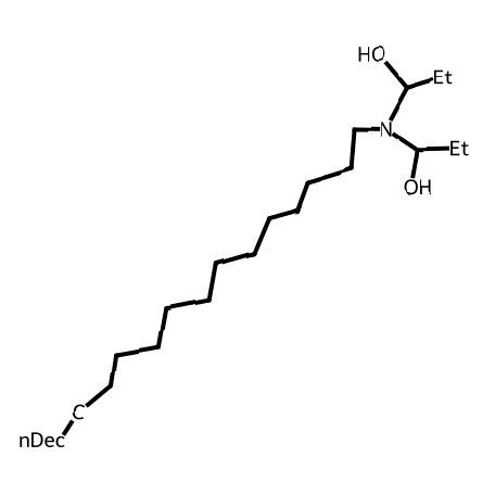 CCCCCCCCCCCCCCCCCCCCCCCN(C(O)CC)C(O)CC